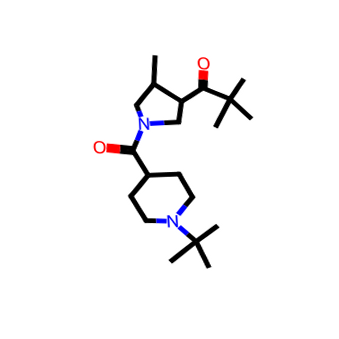 CC1CN(C(=O)C2CCN(C(C)(C)C)CC2)CC1C(=O)C(C)(C)C